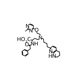 Cc1nccc(OCCN(CCCCc2ccc3c(n2)NCCC3)CCC(NC(=O)Cc2ccccc2)C(=O)O)n1